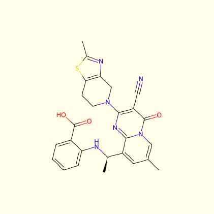 Cc1cc([C@@H](C)Nc2ccccc2C(=O)O)c2nc(N3CCc4sc(C)nc4C3)c(C#N)c(=O)n2c1